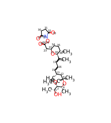 CO[C@@H]([C@@H](C)O)[C@@H](C)OC(C)(C)C[C@H](C)/C=C/C=C(\C)[C@H]1O[C@@H](CC(=O)ON2C(=O)CCC2=O)CC[C@@H]1C